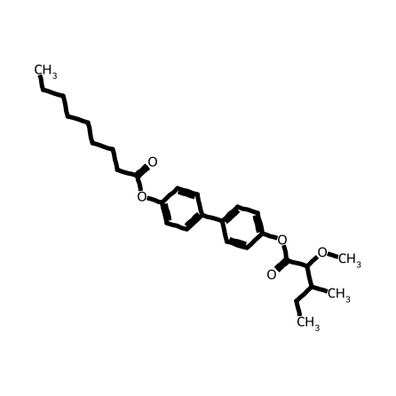 CCCCCCCCC(=O)Oc1ccc(-c2ccc(OC(=O)C(OC)C(C)CC)cc2)cc1